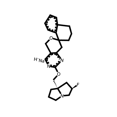 F[C@H]1CN2CCC[C@@]2(COc2ncc3c(n2)CC2(CCCc4ccccc42)OC3)C1.[H-].[Na+]